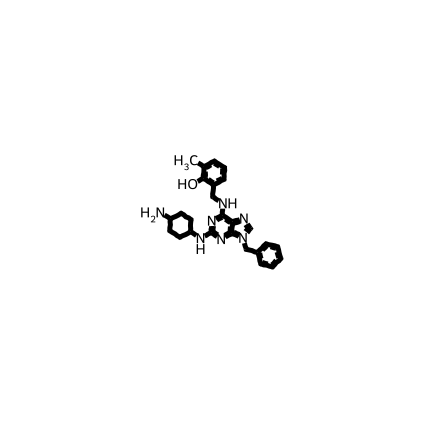 Cc1cccc(CNc2nc(NC3CCC(N)CC3)nc3c2ncn3Cc2ccccc2)c1O